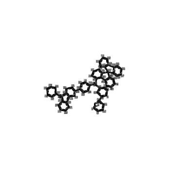 c1ccc(-c2cccc(N(c3ccc(-c4ccc5c(c4)c4ccccc4n5-c4ccccc4)cc3)c3cccc4c3-c3ccccc3C43c4ccccc4-c4ccccc43)c2)cc1